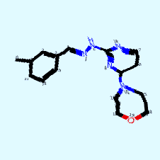 CC1C=C(/C=N/NC2=NC(N3CCOCC3)CC=N2)C=CC1